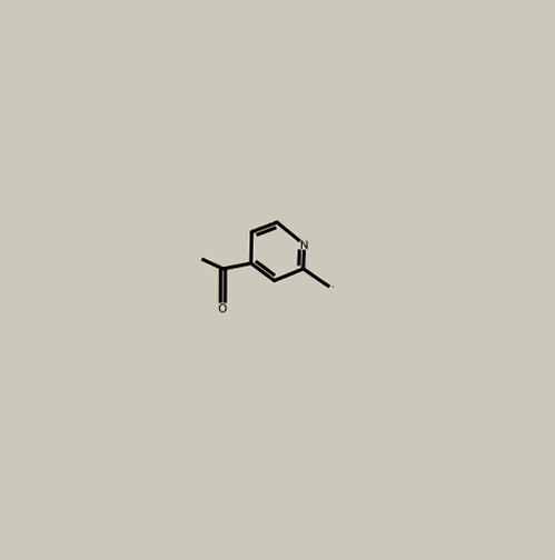 [CH2]c1cc(C(C)=O)ccn1